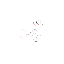 COc1c(CC(NC(=O)C(N)c2ccc(C(=O)OC(C)(C)C)c([N+](=O)[O-])c2)B2O[C@@H]3C[C@@H]4C[C@@H](C4(C)C)[C@]3(C)O2)cccc1C(=O)OC(C)(C)C